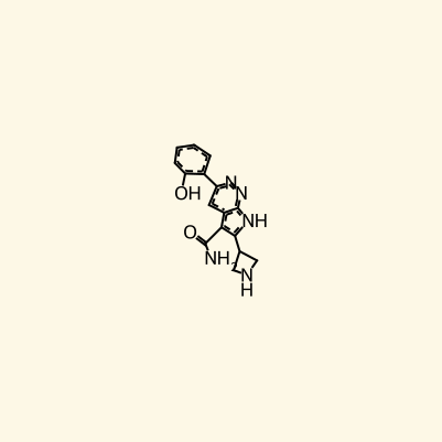 NC(=O)c1c(C2CNC2)[nH]c2nnc(-c3ccccc3O)cc12